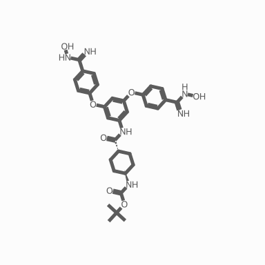 CC(C)(C)OC(=O)N[C@H]1CC[C@H](C(=O)Nc2cc(Oc3ccc(C(=N)NO)cc3)cc(Oc3ccc(C(=N)NO)cc3)c2)CC1